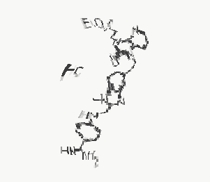 CCOC(=O)CCn1c(=O)n(Cc2ccc3c(c2)nc(CNc2ccc(C(=N)N)cc2)n3C)c2cccnc21.Cl